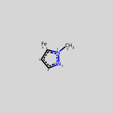 Cn1cccn1.[Fe]